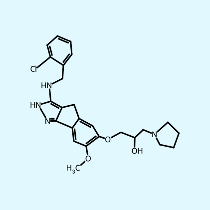 COc1cc2c(cc1OCC(O)CN1CCCC1)Cc1c-2n[nH]c1NCc1ccccc1Cl